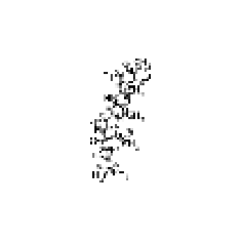 C=N/C(=C\C=C(/C)C(=O)N1[C@@H](C)COC[C@@H]1C)Nc1cc(-c2ccnc(N3CCn4c(cc5c4CC(C)(C)C5)C3=O)c2COC(C)=O)nn(C)c1=O